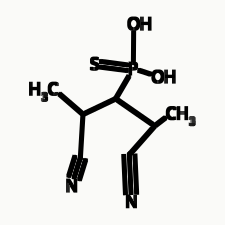 CC(C#N)C(C(C)C#N)P(O)(O)=S